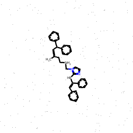 CC(=CC(c1ccccc1)c1ccccc1)CC[SiH2]Cn1ccnc1BC(=Cc1ccccc1)c1ccccc1